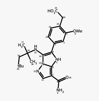 COc1cc(-c2[nH]c3c(C(N)=O)cnn3c2NC(C)(C)CC(C)(C)C)ccc1CC(=O)O